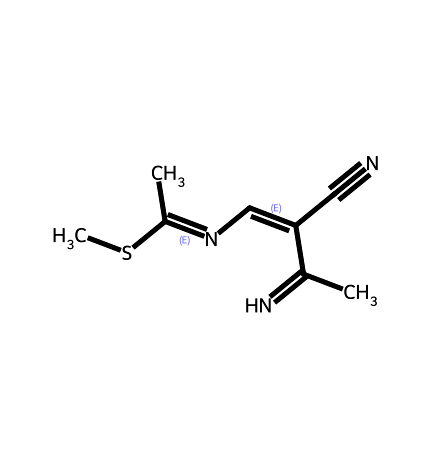 CS/C(C)=N/C=C(/C#N)C(C)=N